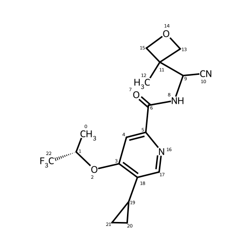 C[C@H](Oc1cc(C(=O)NC(C#N)C2(C)COC2)ncc1C1CC1)C(F)(F)F